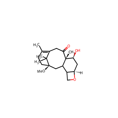 CO[C@]12CCC(C)=C(CC(=O)[C@@]3(C)C(C1)C1CO[C@@H]1C[C@@H]3O)C2(C)C